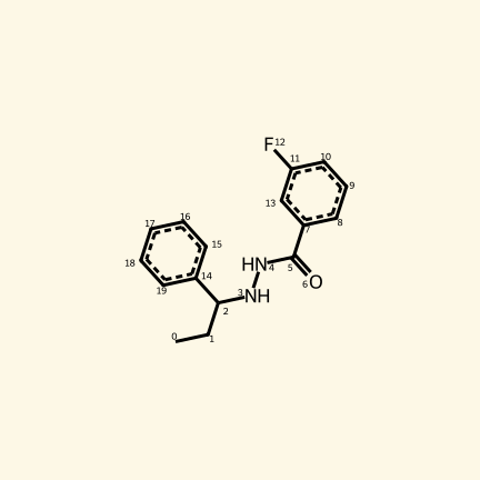 CCC(NNC(=O)c1cccc(F)c1)c1ccccc1